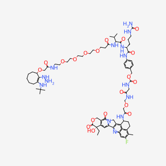 CC[C@@]1(O)C(=O)OCc2c1cc1n(c2=O)Cc2c-1nc1cc(F)c(C)c3c1c2C(NC(=O)COCNC(=O)CNC(=O)OCc1ccc(NC(=O)[C@H](CCCNC(N)=O)NC(=O)[C@@H](NC(=O)CCOCCOCCOCCOCCNC(=O)COC2CCCCC/C(NC(C)(C)C)=C\2NN)C(C)C)cc1)CC3